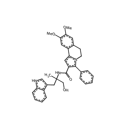 COc1cc2c(cc1OC)-c1cc(C(=O)NC(C)(CO)Cc3c[nH]c4ccccc34)c(-c3ccccc3)n1CC2